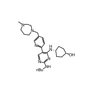 CCCCNc1ncc(-c2ccc(CN3CCCN(C)CC3)cn2)c(N[C@H]2CC[C@H](O)CC2)n1